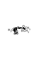 C=C(C)C(=O)NCCOC1C2OC3C1OS(=O)(=O)C3C2C